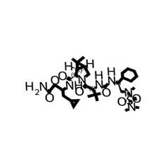 CN(C)S(=O)(=O)N(C)C[C@@H](NC(=O)N[C@H](C(=O)N1C[C@H]2[C@@H]([C@H]1C(=O)NC(CC1CC1)C(=O)C(N)=O)C2(C)C)C(C)(C)C)C1CCCCC1